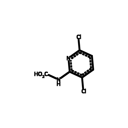 O=C(O)Nc1nc(Cl)ccc1Cl